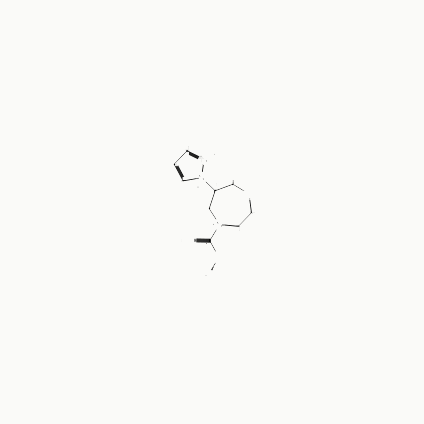 CC(C)(C)OC(=O)N1CCOCC(n2cccn2)C1